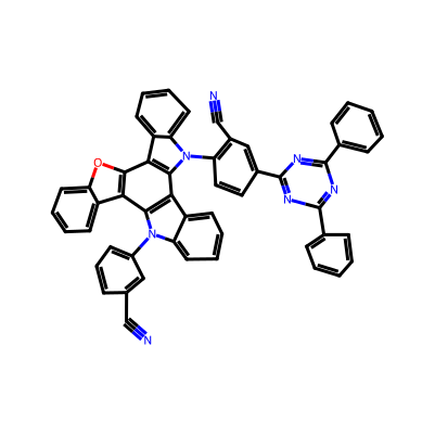 N#Cc1cccc(-n2c3ccccc3c3c4c(c5ccccc5n4-c4ccc(-c5nc(-c6ccccc6)nc(-c6ccccc6)n5)cc4C#N)c4oc5ccccc5c4c32)c1